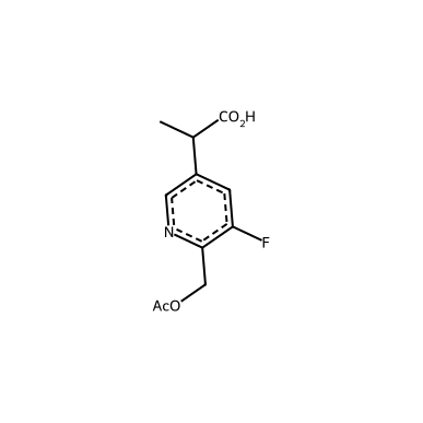 CC(=O)OCc1ncc(C(C)C(=O)O)cc1F